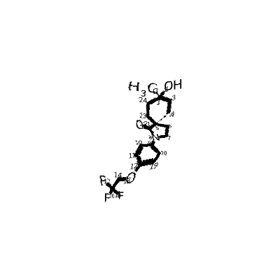 C[C@]1(O)CC[C@@]2(CCN(c3ccc(OCC(F)(F)F)cc3)C2=O)CC1